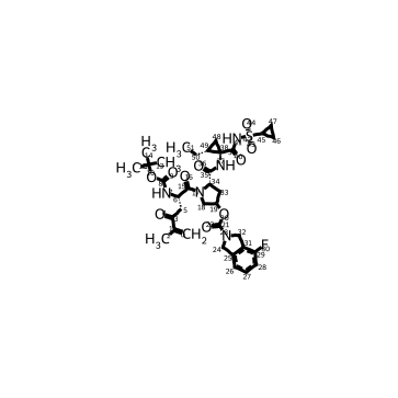 C=C(C)C(=O)C[C@H](NC(=O)OC(C)(C)C)C(=O)N1CC(OC(=O)N2Cc3cccc(F)c3C2)C[C@H]1C(=O)N[C@]1(C(=O)NS(=O)(=O)C2CC2)C[C@H]1CC